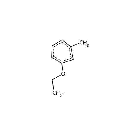 [CH2]COc1cccc(C)c1